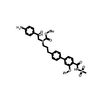 CC(C)Oc1cc(-c2ccc(CCCN(C[C@H](O)c3ccc(N)cc3)C(=O)OC(C)(C)C)cc2)ccc1C(=O)NS(C)(=O)=O